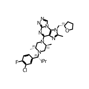 Cc1nc2c(N3C[C@@H](C)N([C@@H](c4ccc(F)c(Cl)c4)C(C)C)C[C@@H]3C)nc3nncn3c2n1C[C@@H]1CCCO1